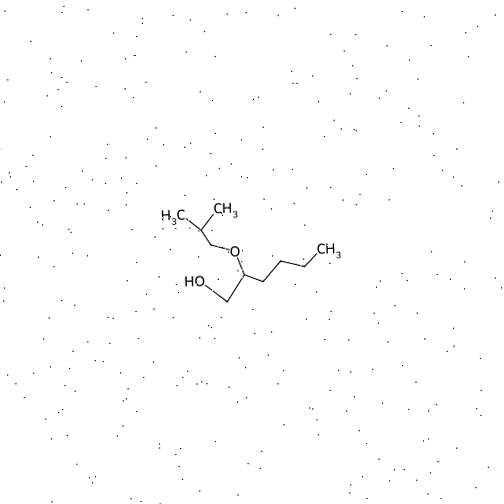 CCCCC(CO)OCC(C)C